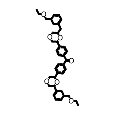 CCOCC1C=CC=C(CC2COCC(c3ccc(C(=O)c4ccc(C5COCC(C6=CC=CC(COCC)C6)O5)cc4)cc3)O2)C1